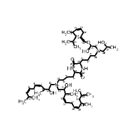 CC(C)/C=C\C/C=C\C(C)C(O)CN(CCCCC1NC(=O)C(CCCCN(CC(C)O)CC(O)O/C=C\C/C=C\C(C)CC(C)C)NC1=O)CC(O)C(C)/C=C\C/C=C\C(C)CC(C)C